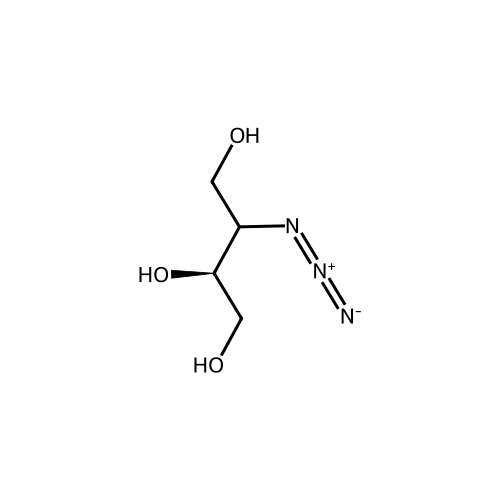 [N-]=[N+]=NC(CO)[C@H](O)CO